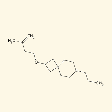 C=C(C)CCOC1CC2(CCN(CCC)CC2)C1